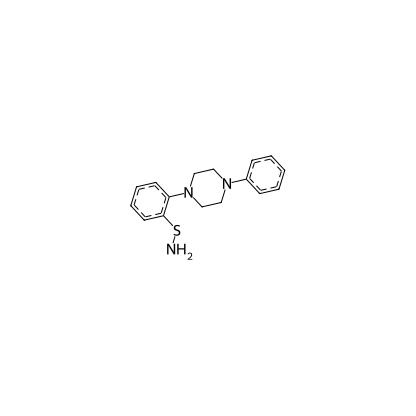 NSc1ccccc1N1CCN(c2ccccc2)CC1